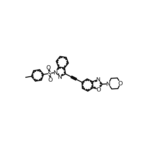 Cc1ccc(S(=O)(=O)n2nc(C#Cc3ccc4oc(N5CCOCC5)nc4c3)c3ccccc32)cc1